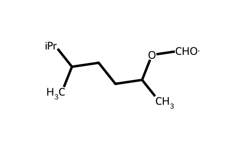 CC(CCC(C)C(C)C)O[C]=O